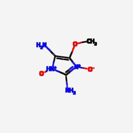 COC1=C(N)[NH+]([O-])C(N)=[N+]1[O-]